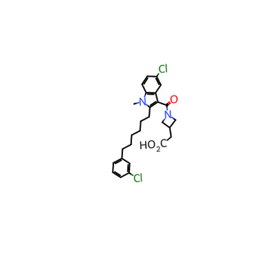 Cn1c(CCCCCCc2cccc(Cl)c2)c(C(=O)N2CC(CC(=O)O)C2)c2cc(Cl)ccc21